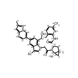 CC(=O)c1cn(CC(=O)N2[C@H](C(=O)Nc3nc(C(F)(F)F)ccc3C)C[C@@]3(C)C[C@@H]23)c2c(CO)cc(-c3cnc4cc(C)nn4c3)cc12